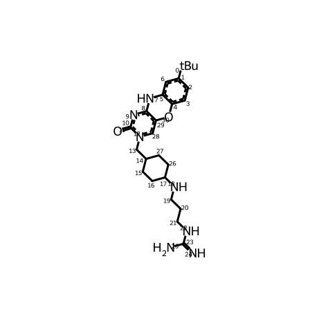 CC(C)(C)c1ccc2c(c1)Nc1nc(=O)n(CC3CCC(NCCCNC(=N)N)CC3)cc1O2